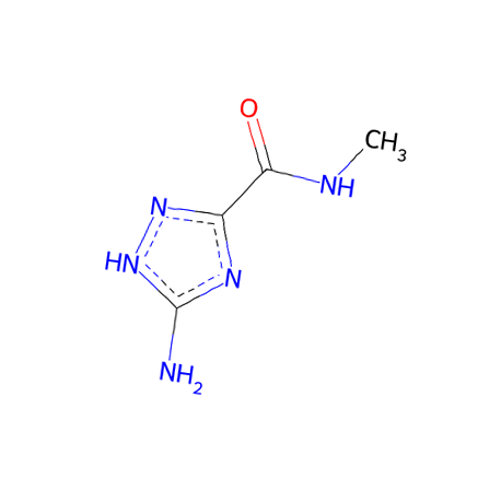 CNC(=O)c1n[nH]c(N)n1